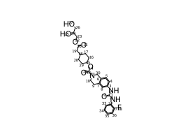 O=C(Nc1ccc2c(c1)CCN(C(=O)OC1CCC(CC(=O)OCC(O)CO)CC1)C2)Nc1ccccc1F